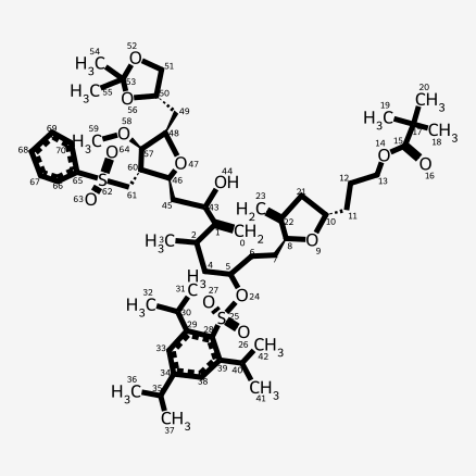 C=C(C(C)CC(CC[C@@H]1O[C@@H](CCCOC(=O)C(C)(C)C)CC1=C)OS(=O)(=O)c1c(C(C)C)cc(C(C)C)cc1C(C)C)C(O)C[C@@H]1O[C@H](C[C@H]2COC(C)(C)O2)[C@H](OC)[C@H]1CS(=O)(=O)c1ccccc1